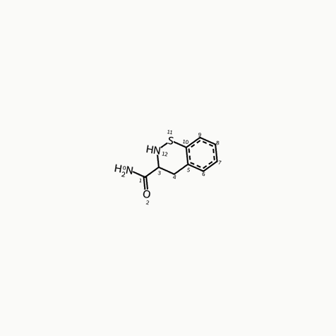 NC(=O)C1Cc2ccccc2SN1